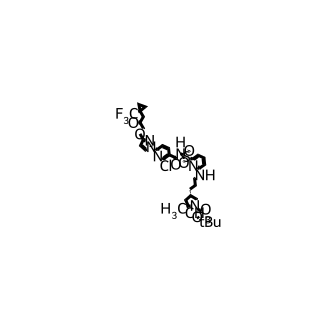 CC(C)(C)OC(=O)N1C[C@@H](CCCNc2cccc(S(=O)(=O)NC(=O)c3ccc(-n4ccc(OCC(=O)CC5(C(F)(F)F)CC5)n4)nc3Cl)n2)CC1(C)C